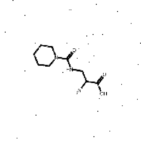 NC(CNC(=O)N1CCCCC1)C(=O)O